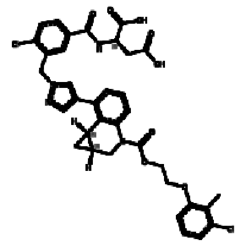 Cc1c(Cl)cccc1OCCOC(=O)N1C[C@@H]2C[C@@H]2c2c(-c3cnn(Cc4cc(C(=O)N[C@H](CC(=O)O)C(=O)O)ccc4Cl)c3)cccc21